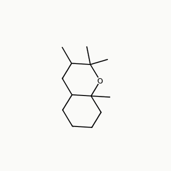 CC1CC2CCCCC2(C)OC1(C)C